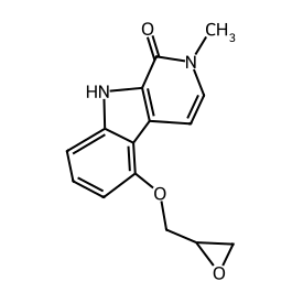 Cn1ccc2c([nH]c3cccc(OCC4CO4)c32)c1=O